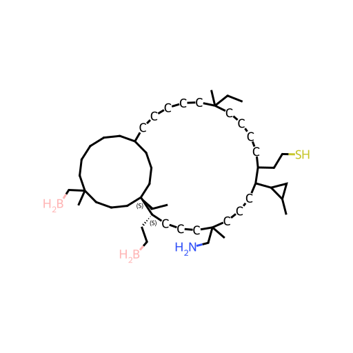 BCC[C@H]1CCCC(C)(CN)CCCC(C2CC2C)C(CCS)CCCCC(C)(CC)CCCCCC2CCCCCC(C)(CB)CCC[C@]1(CC)CCC2